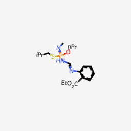 CCCOP(=NC)(NC=Nc1ccccc1C(=O)OCC)SCC(C)C